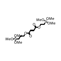 CO[Si](CCCOC(=O)/C=C/C(=O)OCC[Si](OC)(OC)OC)(OC)OC